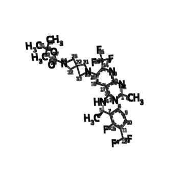 Cc1nc(N[C@H](C)c2cccc(C(F)F)c2F)c2cc(N3CC4(CN(C(=O)OC(C)(C)C)C4)C3)c(C(F)(F)F)nc2n1